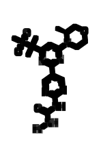 CCNC(=O)Nc1ncc(-c2nc(N3CCOC[C@@H]3C)cc(C(C)(C)S(C)(=O)=O)n2)cn1